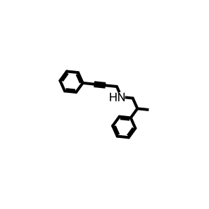 CC(CNCC#Cc1ccccc1)c1ccccc1